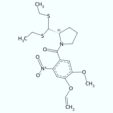 C=COc1cc([N+](=O)[O-])c(C(=O)N2CCC[C@H]2C(SCC)SCC)cc1OC